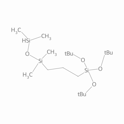 C[SiH](C)O[Si](C)(C)CCC[Si](OC(C)(C)C)(OC(C)(C)C)OC(C)(C)C